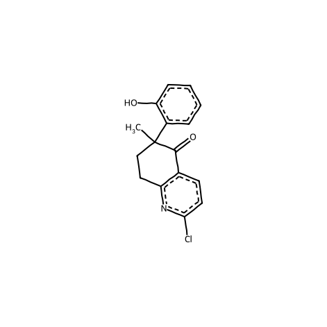 CC1(c2ccccc2O)CCc2nc(Cl)ccc2C1=O